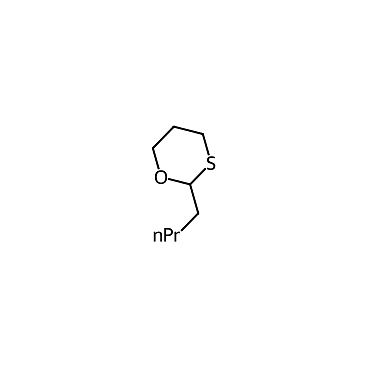 CCCCC1OCCCS1